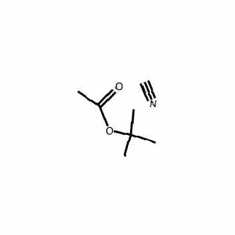 C#N.CC(=O)OC(C)(C)C